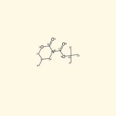 CC1COC(=O)N(C(=O)OC(C)(C)C)C1